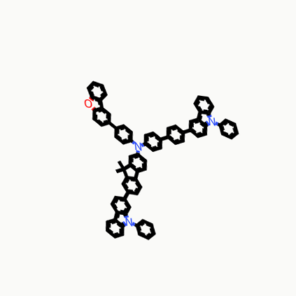 CC1(C)c2cc(-c3ccc4c5ccccc5n(-c5ccccc5)c4c3)ccc2-c2ccc(N(c3ccc(-c4ccc(-c5ccc6c(c5)c5ccccc5n6-c5ccccc5)cc4)cc3)c3ccc(-c4ccc5oc6ccccc6c5c4)cc3)cc21